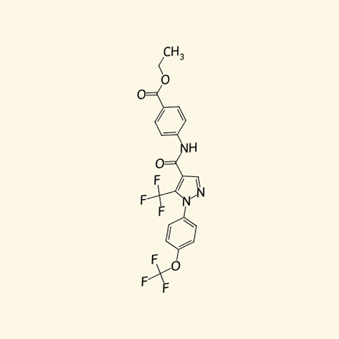 CCOC(=O)c1ccc(NC(=O)c2cnn(-c3ccc(OC(F)(F)F)cc3)c2C(F)(F)F)cc1